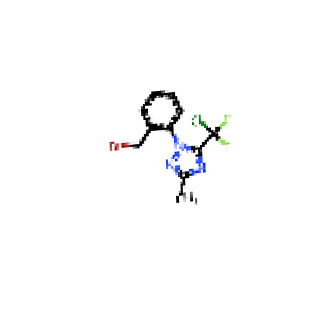 Cc1nc(C(F)(F)Cl)n(-c2ccccc2CBr)n1